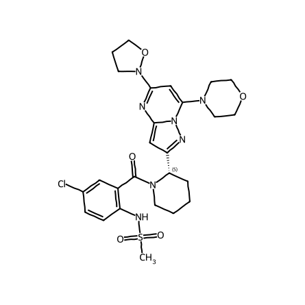 CS(=O)(=O)Nc1ccc(Cl)cc1C(=O)N1CCCC[C@H]1c1cc2nc(N3CCCO3)cc(N3CCOCC3)n2n1